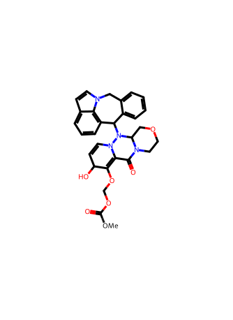 COC(=O)OCOC1=C2C(=O)N3CCOCC3N(C3c4ccccc4Cn4ccc5cccc3c54)N2C=CC1O